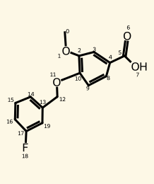 COc1cc(C(=O)O)ccc1OCc1cccc(F)c1